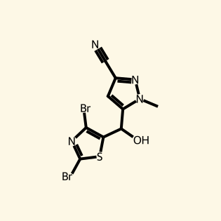 Cn1nc(C#N)cc1C(O)c1sc(Br)nc1Br